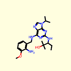 CCC(Nc1nc(NCc2cccc(OC)c2N)c2ncn(C(C)C)c2n1)C(C)(C)O